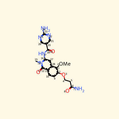 COc1c(OCCC(N)=O)ccc2c(=O)n(C)c(NC(=O)c3cnc(N)nc3)cc12